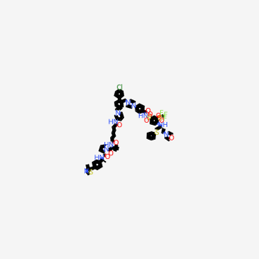 Cc1ncsc1-c1ccc([C@H](C)NC(=O)[C@@H]2CCCN2C(=O)C(NC(=O)CCCCCC(=O)N[C@@H]2CCCN(CC3(C)CCC(c4ccc(Cl)cc4)=C(CN4CCN(c5ccc(C(=O)NS(=O)(=O)c6ccc(N[C@H](CCN7CCOCC7)CSc7ccccc7)c(S(=O)(=O)C(F)(F)F)c6)cc5)CC4)C3)C2)C(C)(C)C)cc1